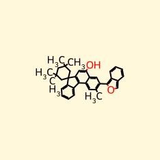 Cc1cc2c3c(cc(O)c2cc1-c1occ2ccccc12)C1(CC(C)(C)CC(C)(C)C1)c1ccccc1-3